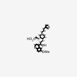 COc1ccc2nccc([C@H](O)CC[C@@H]3CCN(CCCc4ccsc4)C[C@H]3CCC(=O)O)c2c1